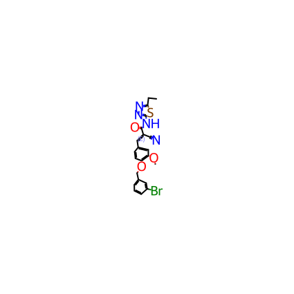 CCc1nnc(NC(=O)/C(C#N)=C/c2ccc(OCc3cccc(Br)c3)c(OC)c2)s1